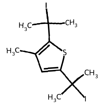 Cc1cc(C(C)(C)I)sc1C(C)(C)I